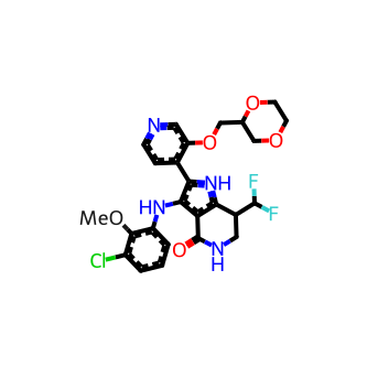 COc1c(Cl)cccc1Nc1c(-c2ccncc2OCC2COCCO2)[nH]c2c1C(=O)NCC2C(F)F